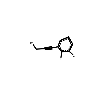 OCC#Cc1cccc(Cl)c1F